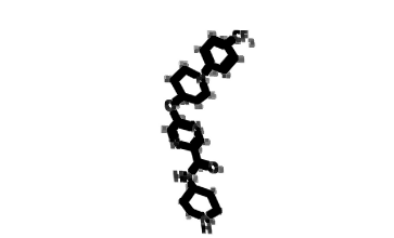 O=C(NC1CCNCC1)c1cnc(OC2CCN(c3ccc(C(F)(F)F)cc3)CC2)cn1